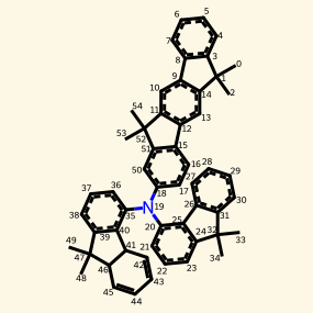 CC1(C)c2ccccc2-c2cc3c(cc21)-c1ccc(N(c2cccc4c2-c2ccccc2C4(C)C)c2cccc4c2C2C=CC=CC2C4(C)C)cc1C3(C)C